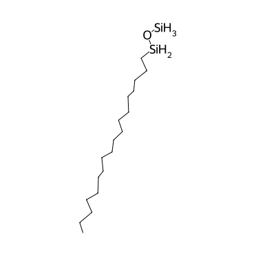 CCCCCCCCCCCCCCCCCC[SiH2]O[SiH3]